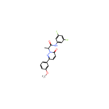 CC(C(=O)Nc1cc(F)cc(F)c1)n1nc(-c2cccc(OC(F)(F)F)c2)ccc1=O